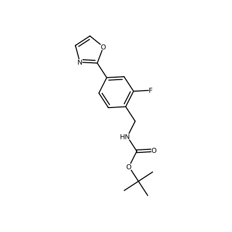 CC(C)(C)OC(=O)NCc1ccc(-c2ncco2)cc1F